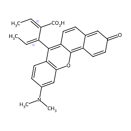 C/C=C(\C(=C/C)C(=O)O)c1c2ccc(N(C)C)cc2oc2c1ccc1cc(=O)ccc12